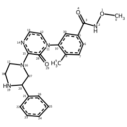 CONC(=O)c1ccc(C)c(-n2ccnc(N3CCNC(c4ccccc4)C3)c2=O)c1